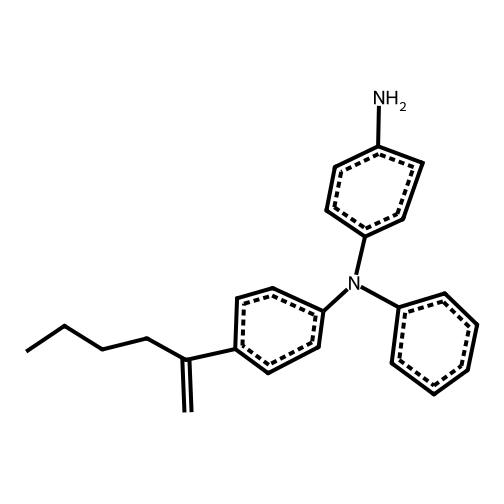 C=C(CCCC)c1ccc(N(c2ccccc2)c2ccc(N)cc2)cc1